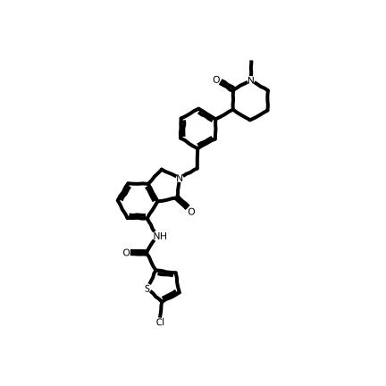 CN1CCCC(c2cccc(CN3Cc4cccc(NC(=O)c5ccc(Cl)s5)c4C3=O)c2)C1=O